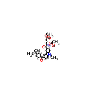 CCn1c2ccc(C(=O)C(CCCC(=O)OC)=NOC(C)=O)cc2c2cc(C(=O)C3CCC(C(C)C)CC3)ccc21